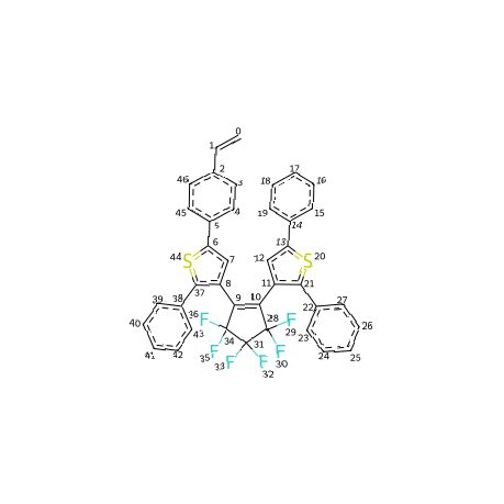 C=Cc1ccc(-c2cc(C3=C(c4cc(-c5ccccc5)sc4-c4ccccc4)C(F)(F)C(F)(F)C3(F)F)c(-c3ccccc3)s2)cc1